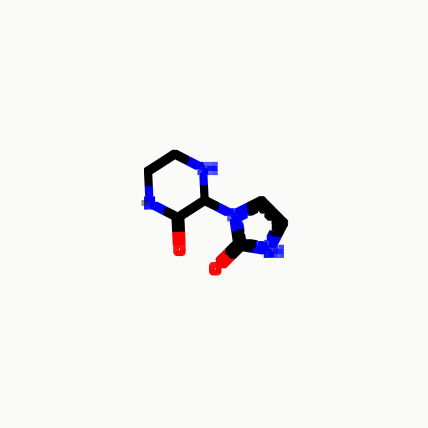 O=C1[N]CCNC1n1cc[nH]c1=O